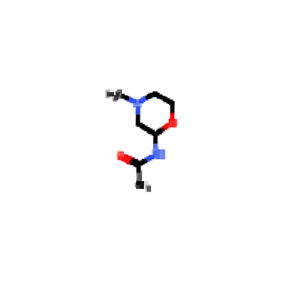 CC(=O)NC1CN(C)CCO1